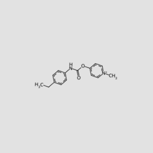 CCc1ccc(NC(=O)Oc2cc[n+](C)cc2)cc1